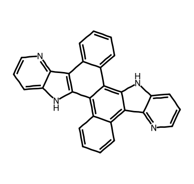 c1cnc2c(c1)[nH]c1c2c2ccccc2c2c3[nH]c4cccnc4c3c3ccccc3c12